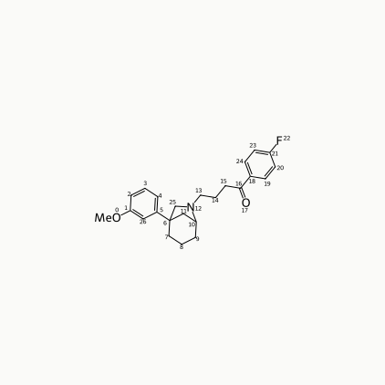 COc1cccc(C23CCCC(C2)N(CCCC(=O)c2ccc(F)cc2)C3)c1